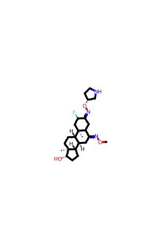 CO/N=C1\C[C@H]2[C@@H]3CC[C@H](O)[C@@]3(C)CC[C@@H]2[C@@]2(C)C[C@@H](F)/C(=N\O[C@@H]3CCNC3)CC12